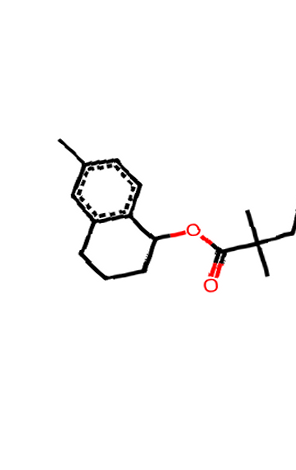 CCC(C)(C)C(=O)OC1CCCc2cc(C)ccc21